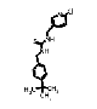 CC(C)(C)c1ccc(CNC(=S)NCc2ccc(Cl)nc2)cc1